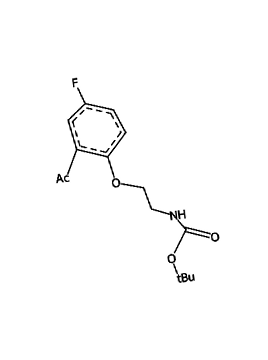 CC(=O)c1cc(F)ccc1OCCNC(=O)OC(C)(C)C